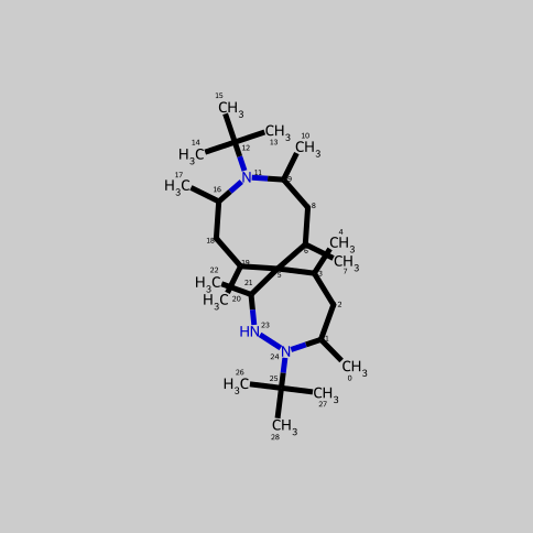 CC1CC(C)C2(C(C)CC(C)N(C(C)(C)C)C(C)CC2C)C(C)NN1C(C)(C)C